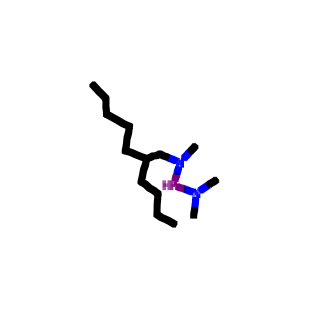 CCCCCC(CCCC)CN(C)PN(C)C